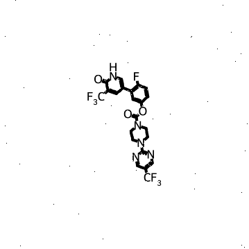 O=C(Oc1ccc(F)c(-c2c[nH]c(=O)c(C(F)(F)F)c2)c1)N1CCN(c2ncc(C(F)(F)F)cn2)CC1